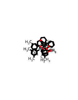 Cc1cc(C)cc(P(c2cc(C)cc(C)c2)C2CCCCC2(C(=O)O)c2ccccc2-c2ccccc2C2(C(=O)O)CCCCC2P(c2cc(C)cc(C)c2)c2cc(C)cc(C)c2)c1